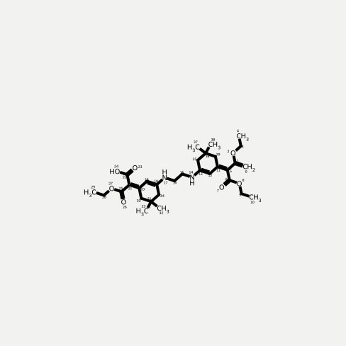 C=C(OCC)/C(C(=O)OCC)=C1/C=C(NCCNC2=C/C(=C(\C(=O)O)C(=O)OCC)CC(C)(C)C2)CC(C)(C)C1